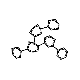 c1ccc(-c2cccc(-c3nc(-c4ccccc4)ncc3-c3cccc(-c4cccnc4)c3)c2)cc1